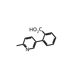 Cc1ccc(-c2ccccc2C(=O)O)cn1